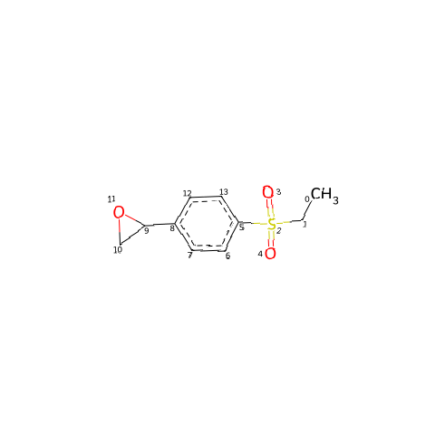 CCS(=O)(=O)c1ccc(C2CO2)cc1